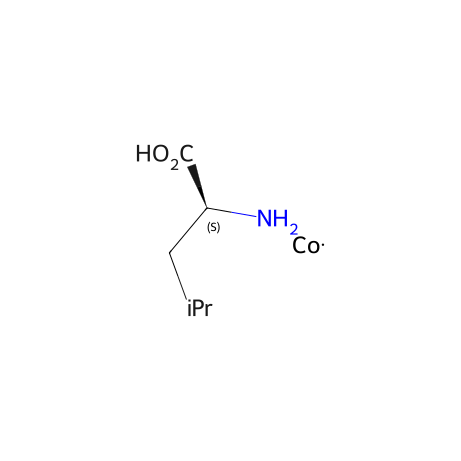 CC(C)C[C@H](N)C(=O)O.[Co]